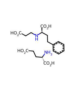 N[C@@H](CCC(=O)O)C(=O)O.O=C(O)CCN[C@H](CCc1ccccc1)C(=O)O